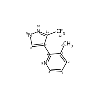 Cc1cccnc1C1=C[N]N=C1C(F)(F)F